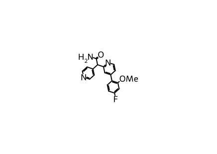 COc1cc(F)ccc1-c1ccnc(C(C(N)=O)c2ccncc2)c1